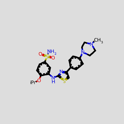 CC(C)Oc1ccc(S(N)(=O)=O)cc1Nc1nc(-c2ccc(N3CCN(C)CC3)cc2)cs1